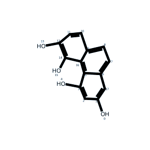 Oc1cc(O)c2c(ccc3ccc(O)c(O)c32)c1